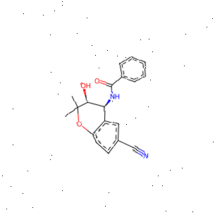 CC1(C)Oc2ccc(C#N)cc2[C@H](NC(=O)c2ccccc2)[C@@H]1O